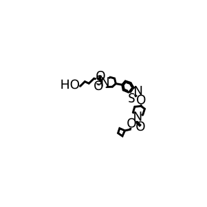 O=C(OCC1CCC1)N1CCC(Oc2nc3ccc(C4CCN(S(=O)(=O)CCCCO)CC4)cc3s2)CC1